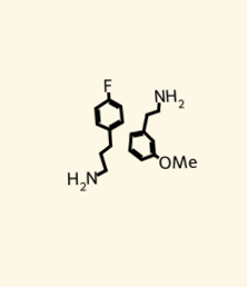 COc1cccc(CCN)c1.NCCCc1ccc(F)cc1